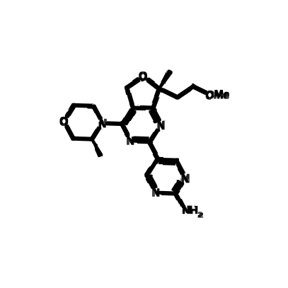 COCC[C@@]1(C)OCc2c(N3CCOC[C@@H]3C)nc(-c3cnc(N)nc3)nc21